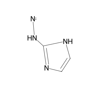 [N]Nc1ncc[nH]1